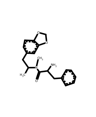 CC(Cc1ccc2c(c1)OCO2)N(C)C(=O)C(N)Cc1ccccc1